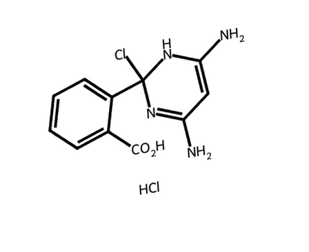 Cl.NC1=CC(N)=NC(Cl)(c2ccccc2C(=O)O)N1